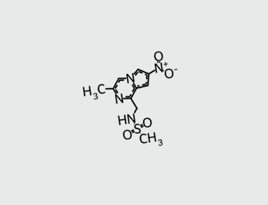 Cc1cn2cc([N+](=O)[O-])cc2c(CNS(C)(=O)=O)n1